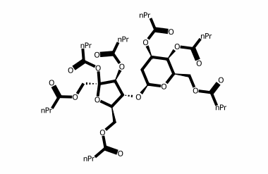 CCCC(=O)OC[C@H]1O[C@@H](O[C@@H]2[C@@H](COC(=O)CCC)O[C@@](COC(=O)CCC)(OC(=O)CCC)[C@H]2OC(=O)CCC)C[C@@H](OC(=O)CCC)[C@H]1OC(=O)CCC